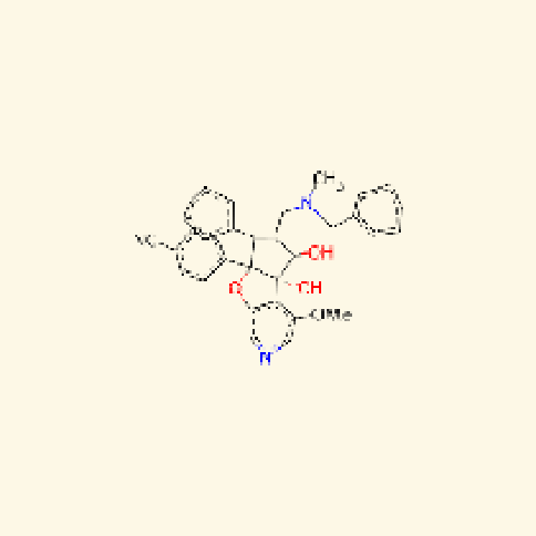 COc1cncc2c1[C@]1(O)[C@H](O)C(CN(C)Cc3ccccc3)C(c3ccccc3)C1(c1ccc(C#N)cc1)O2